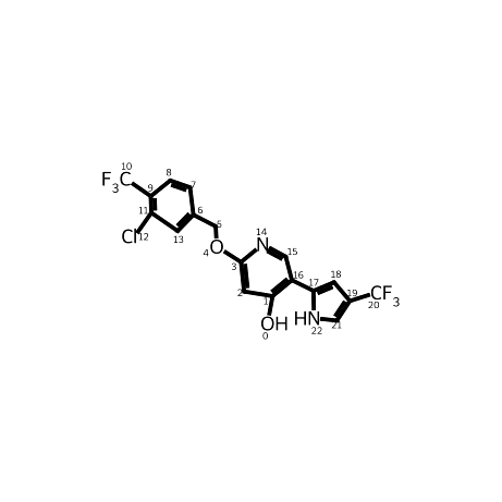 Oc1cc(OCc2ccc(C(F)(F)F)c(Cl)c2)ncc1-c1cc(C(F)(F)F)c[nH]1